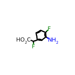 Nc1cc(C(F)C(=O)O)ccc1F